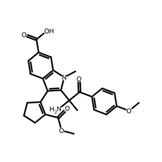 COC(=O)C1=C(c2c(C(C)(N)C(=O)c3ccc(OC)cc3)n(C)c3cc(C(=O)O)ccc23)CCC1